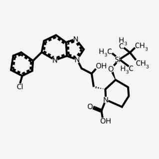 CC(C)(C)[Si](C)(C)O[C@H]1CCCN(C(=O)O)[C@@H]1CC(O)Cn1cnc2ccc(-c3cccc(Cl)c3)nc21